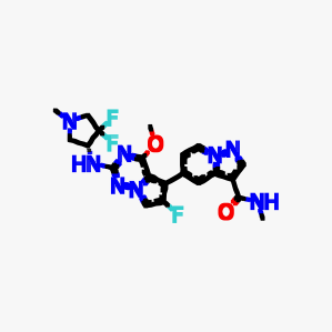 CNC(=O)c1cnn2ccc(-c3c(F)cn4nc(N[C@@H]5CN(C)CC5(F)F)nc(OC)c34)cc12